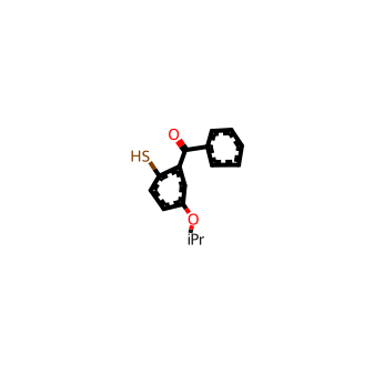 CC(C)Oc1ccc(S)c(C(=O)c2ccccc2)c1